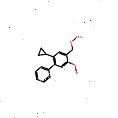 CCOc1cc(-c2ccccc2)c(C2CC2)cc1COC=O